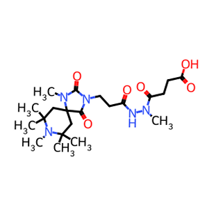 CN(NC(=O)CCN1C(=O)N(C)C2(CC(C)(C)N(C)C(C)(C)C2)C1=O)C(=O)CCC(=O)O